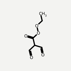 CCOOC(=O)C(C=O)C=O